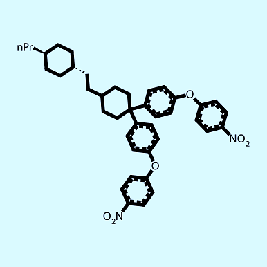 CCC[C@H]1CC[C@H](CCC2CCC(c3ccc(Oc4ccc([N+](=O)[O-])cc4)cc3)(c3ccc(Oc4ccc([N+](=O)[O-])cc4)cc3)CC2)CC1